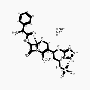 NC(C(=O)NC1C(=O)N2C(C(=O)[O-])=C(C(CCNS(=O)(=O)[O-])Sc3nnn[nH]3)CS[C@@H]12)c1ccccc1.[Na+].[Na+]